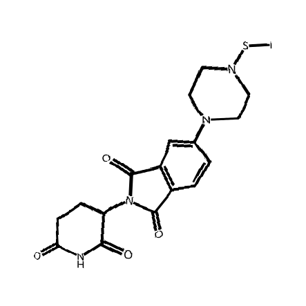 O=C1CCC(N2C(=O)c3ccc(N4CCN(SI)CC4)cc3C2=O)C(=O)N1